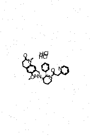 COc1cc2c(cc1CN[C@H]1CCCN(C(=O)Cc3ccccn3)[C@H]1c1ccccc1)N(C)C(=O)CC2.Cl.Cl